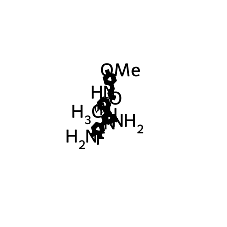 COc1ccc(CNC(=O)[C@H]2CC[C@@H](C)N(c3cc(-c4ccc(N)c(F)c4)nc(N)n3)C2)cc1